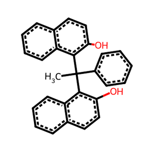 CC(c1ccccc1)(c1c(O)ccc2ccccc12)c1c(O)ccc2ccccc12